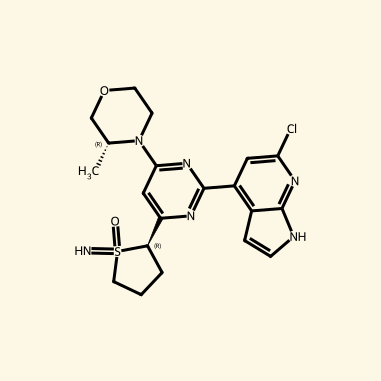 C[C@@H]1COCCN1c1cc([C@H]2CCCS2(=N)=O)nc(-c2cc(Cl)nc3[nH]ccc23)n1